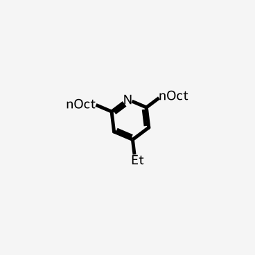 [CH2]Cc1cc(CCCCCCCC)nc(CCCCCCCC)c1